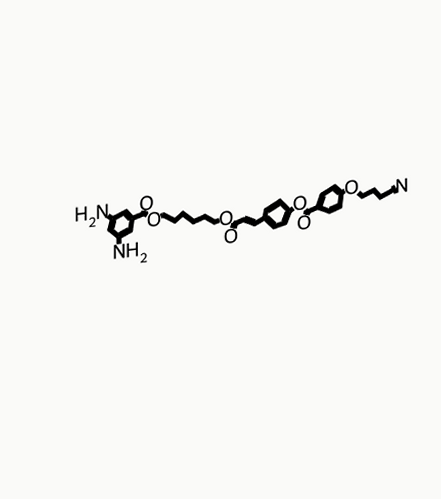 N#CCCCOc1ccc(C(=O)Oc2ccc(C=CC(=O)OCCCCCCOC(=O)c3cc(N)cc(N)c3)cc2)cc1